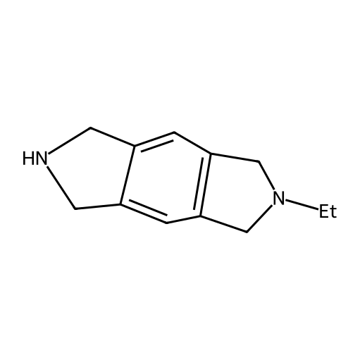 CCN1Cc2cc3c(cc2C1)CNC3